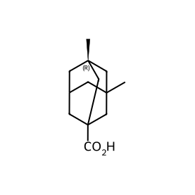 CC12CC3CC(C(=O)O)(C1)C[C@](C)(C3)C2